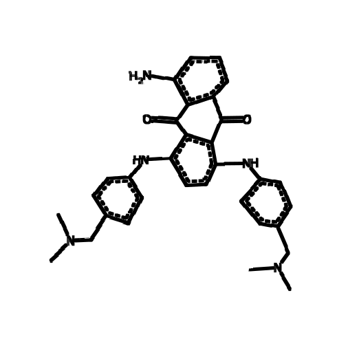 CN(C)Cc1ccc(Nc2ccc(Nc3ccc(CN(C)C)cc3)c3c2C(=O)c2cccc(N)c2C3=O)cc1